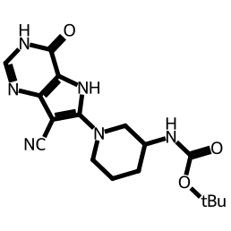 CC(C)(C)OC(=O)NC1CCCN(c2[nH]c3c(=O)[nH]cnc3c2C#N)C1